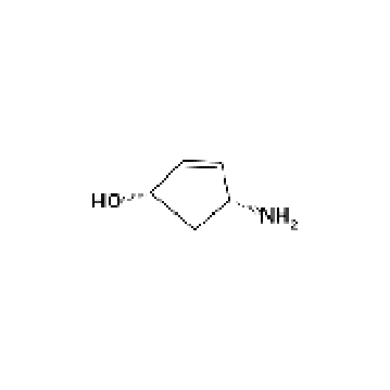 N[C@H]1C=C[C@@H](O)C1